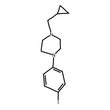 Ic1ccc(N2CCN(CC3CC3)CC2)cc1